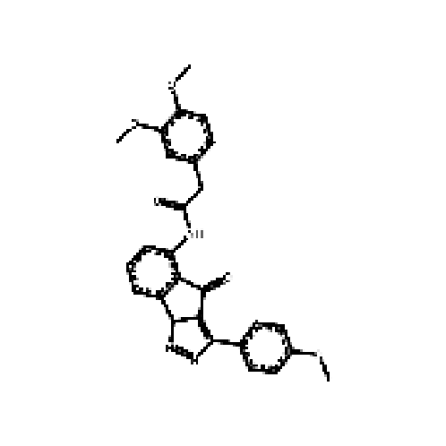 COc1ccc(C2=C3C(=O)c4c(NC(=O)Cc5ccc(OC)c(OC)c5)cccc4C3N=N2)cc1